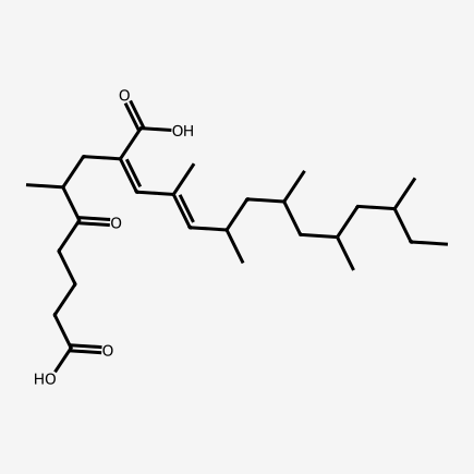 CCC(C)CC(C)CC(C)CC(C)/C=C(C)/C=C(/CC(C)C(=O)CCCC(=O)O)C(=O)O